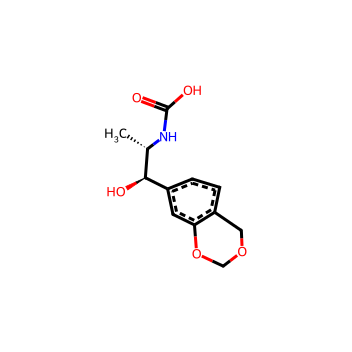 C[C@H](NC(=O)O)[C@H](O)c1ccc2c(c1)OCOC2